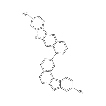 Cc1ccc2c(c1)oc1cc3c(-c4ccc5ccc6oc7cc(C)ccc7c6c5c4)cccc3cc12